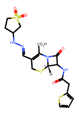 O=C(Cc1cccs1)NC1C(=O)N2C(C(=O)O)=C(C=NNC3CCS(=O)(=O)C3)CS[C@@H]12